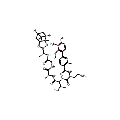 CCCCc1ccc(-c2ccc(C(=O)N[C@@H](CCN)C(=O)N[C@H](C(=O)N[C@@H](C)C(=O)N[C@@H](CCCCN)C(=O)N[C@@H](C)B3OC4C[C@@H]5C[C@@H](C5(C)C)[C@]4(C)O3)[C@@H](C)O)c(C)c2)cc1